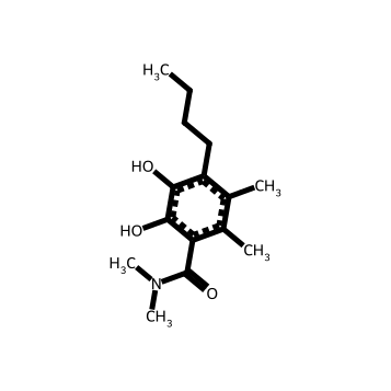 CCCCc1c(C)c(C)c(C(=O)N(C)C)c(O)c1O